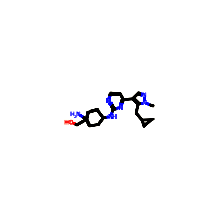 Cn1ncc(-c2ccnc(NC3CCC(N)(CO)CC3)n2)c1CC1CC1